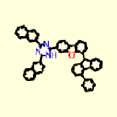 c1ccc(-c2cccc3c2-c2ccccc2C3c2cccc3c2oc2cc(C4=NC(c5ccc6ccccc6c5)=NC(c5ccc6ccccc6c5)N4)ccc23)cc1